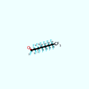 O=C(F)C(F)(F)C(F)(F)C(F)(F)C(F)(F)C(F)(F)C(F)(F)C(F)(F)F